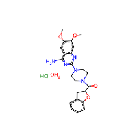 COc1cc2nc(N3CCN(C(=O)C4Cc5ccccc5O4)CC3)nc(N)c2cc1OC.Cl.O